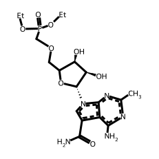 CCOP(=O)(COCC1O[C@@H](n2cc(C(N)=O)c3c(N)nc(C)nc32)[C@H](O)[C@@H]1O)OCC